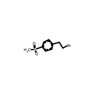 CC(C)CCc1ccc(S(C)(=O)=O)cc1